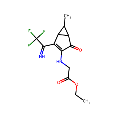 CCOC(=O)CNC1=C(C(=N)C(F)(F)F)C2C(C)C2C1=O